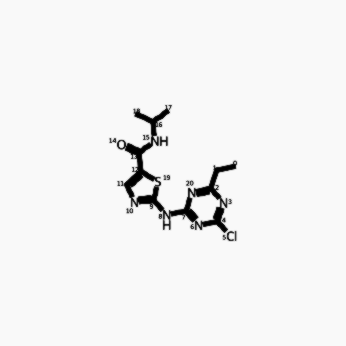 CCc1nc(Cl)nc(Nc2ncc(C(=O)NC(C)C)s2)n1